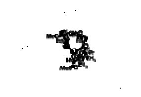 CCn1c(-c2cnccc2COC)c2c3cc(ccc31)-c1cc(O)cc(c1)C[C@H](NC(=O)[C@H](C(C)C)N(C)C(=O)CN(C)C(=O)[C@@H]1N[C@H]1C(=O)OC)C(=O)N1CCC[C@H](N1)C(=O)OCC(C)(C)C2